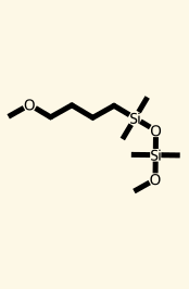 COCCCC[Si](C)(C)O[Si](C)(C)OC